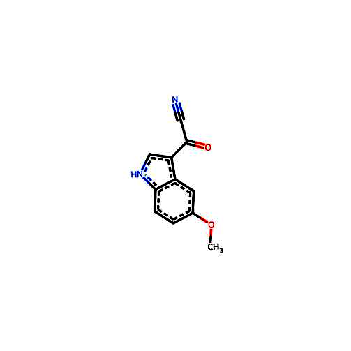 COc1ccc2[nH]cc(C(=O)C#N)c2c1